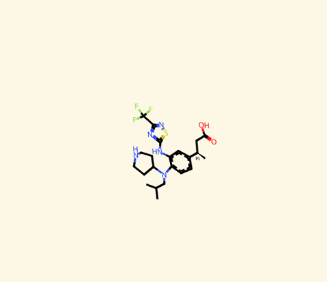 CC(C)CN(c1ccc([C@H](C)CC(=O)O)cc1Nc1nc(C(F)(F)F)ns1)C1CCNCC1